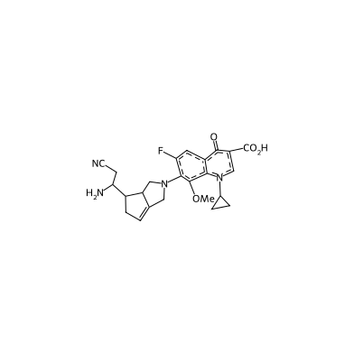 COc1c(N2CC3=CCC(C(N)CC#N)C3C2)c(F)cc2c(=O)c(C(=O)O)cn(C3CC3)c12